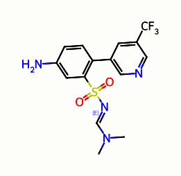 CN(C)/C=N/S(=O)(=O)c1cc(N)ccc1-c1cncc(C(F)(F)F)c1